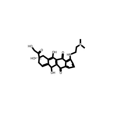 CN(C)CCNc1cccc2c1C(=O)C1=C(C2=O)C(O)C2=CC[C@@](O)(C(=O)CO)CC2=C1O